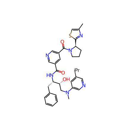 Cc1csc([C@H]2CCCN2C(=O)c2cncc(C(=O)N[C@@H](Cc3ccccc3)[C@H](O)CN(C)c3cncc(C(C)C)c3)c2)n1